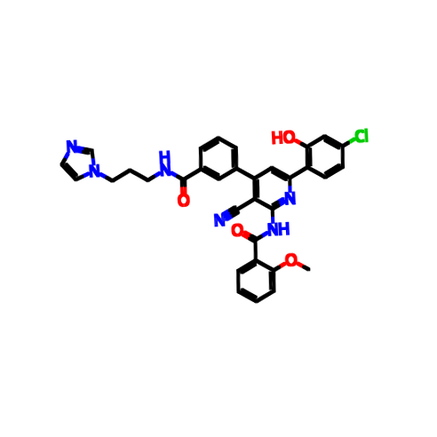 COc1ccccc1C(=O)Nc1nc(-c2ccc(Cl)cc2O)cc(-c2cccc(C(=O)NCCCn3ccnc3)c2)c1C#N